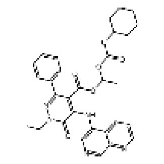 CCn1nc(-c2ccccc2)c(C(=O)OC(C)OC(=O)OC2CCCCC2)c(Nc2cncc3ncccc23)c1=O